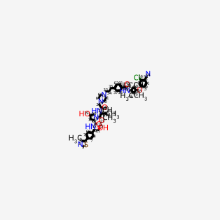 Cc1ncsc1-c1ccc([C@H](CO)NC(=O)[C@@H]2C[C@@H](O)CN2C(=O)[C@@H](NC(=O)CN2CCN(CCCc3ccc(C(=O)N[C@H]4C(C)(C)[C@H](Oc5ccc(C#N)c(Cl)c5)C4(C)C)cc3)CC2)C(C)(C)C)cc1